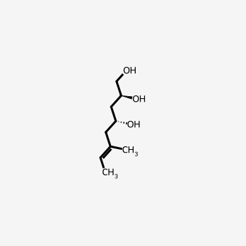 C/C=C(\C)C[C@@H](O)C[C@H](O)CO